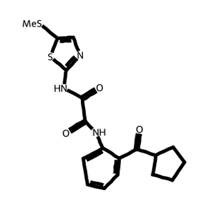 CSc1cnc(NC(=O)C(=O)Nc2ccccc2C(=O)C2CCCC2)s1